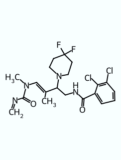 C=NC(=O)N(C)/C=C(\C)C(CNC(=O)c1cccc(Cl)c1Cl)N1CCC(F)(F)CC1